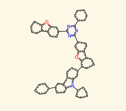 c1ccc(-c2ccc3c(c2)c2ccc(-c4cccc5c4oc4cc(-c6nc(-c7ccccc7)nc(-c7ccc8c(c7)oc7ccccc78)n6)ccc45)cc2n3-c2ccccc2)cc1